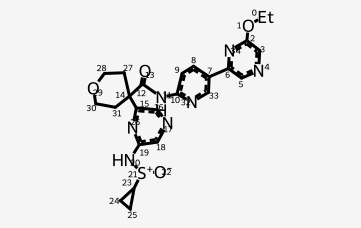 CCOc1cncc(-c2ccc(NC(=O)C3(c4cncc(N[S+]([O-])C5CC5)n4)CCOCC3)nc2)n1